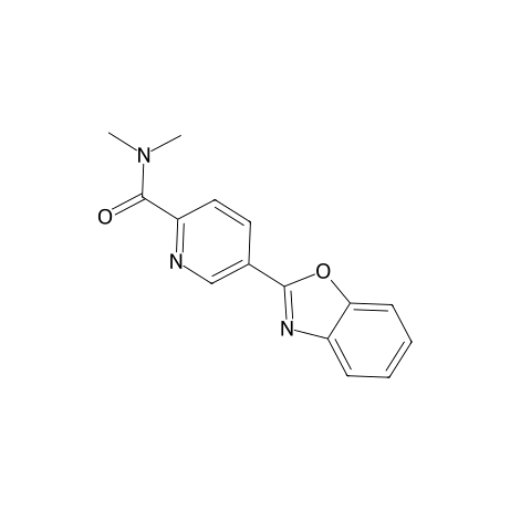 CN(C)C(=O)c1ccc(-c2nc3ccccc3o2)cn1